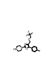 Fc1ccc(-c2oc(N3CCNCC3)nc2COCC(F)(F)F)cc1